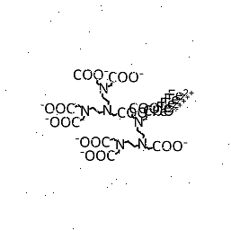 O=C([O-])CN(CCN(CC(=O)[O-])CC(=O)[O-])CCN(CC(=O)[O-])CC(=O)[O-].O=C([O-])CN(CCN(CC(=O)[O-])CC(=O)[O-])CCN(CC(=O)[O-])CC(=O)[O-].[Fe+2].[Fe+2].[Fe+2].[Fe+2].[Fe+2]